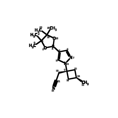 CC1(C)OB(c2cnn([C@]3(CC#N)C[C@@H](C)C3)c2)OC1(C)C